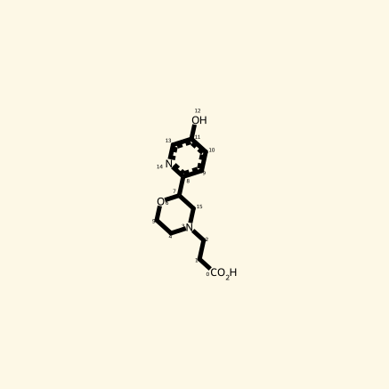 O=C(O)CCN1CCOC(c2ccc(O)cn2)C1